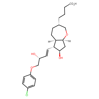 O=C(O)CCC[C@H]1CC[C@@H]2[C@@H](C=C[C@@H](O)COc3ccc(Cl)cc3)[C@H](O)C[C@@H]2OC1